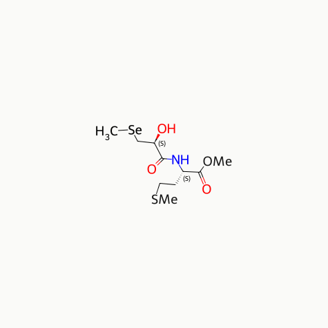 COC(=O)[C@H](CCSC)NC(=O)[C@H](O)C[Se]C